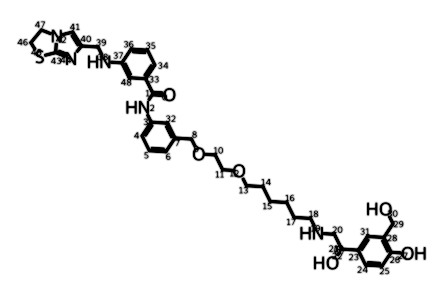 O=C(Nc1cccc(COCCOCCCCCCNC[C@H](O)c2ccc(O)c(CO)c2)c1)c1cccc(NCc2cn3c(n2)SCC3)c1